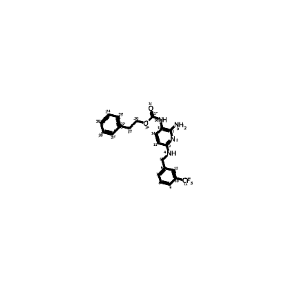 Nc1nc(NCc2cccc(C(F)(F)F)c2)ccc1NC(=O)OCCc1ccccc1